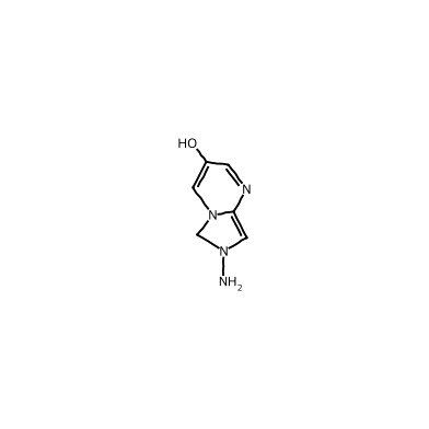 NN1C=C2N=CC(O)=CN2C1